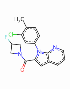 Cc1ccc(-n2c(C(=O)N3CC(F)C3)cc3cccnc32)cc1Cl